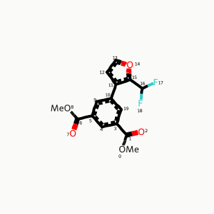 COC(=O)c1cc(C(=O)OC)cc(-c2ccoc2C(F)F)c1